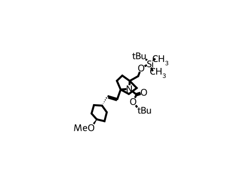 CO[C@H]1CC[C@H](C=CC23CCC(CO[Si](C)(C)C(C)(C)C)(CC2)N3C(=O)OC(C)(C)C)CC1